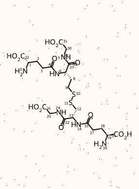 N[C@@H](CCC(=O)N[C@@H](CCSSC[C@H](NC(=O)CC[C@H](N)C(=O)O)C(=O)NCC(=O)O)C(=O)NCC(=O)O)C(=O)O